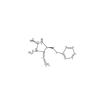 C=C=C1[C@H](CCc2ccccc2)NC(=N)N1C